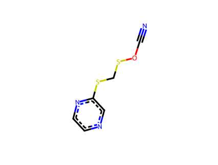 N#COSCSc1cnccn1